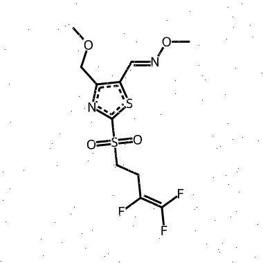 COCc1nc(S(=O)(=O)CCC(F)=C(F)F)sc1C=NOC